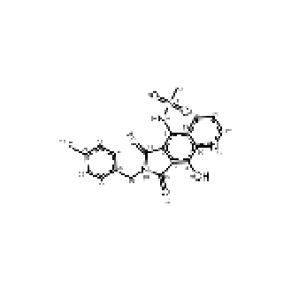 CS(=O)(=O)Nc1c2c(c(O)c3ncccc13)C(=O)N(Cc1ccc(F)cc1)C2=O